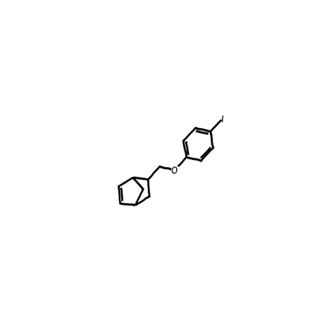 Ic1ccc(OCC2CC3C=CC2C3)cc1